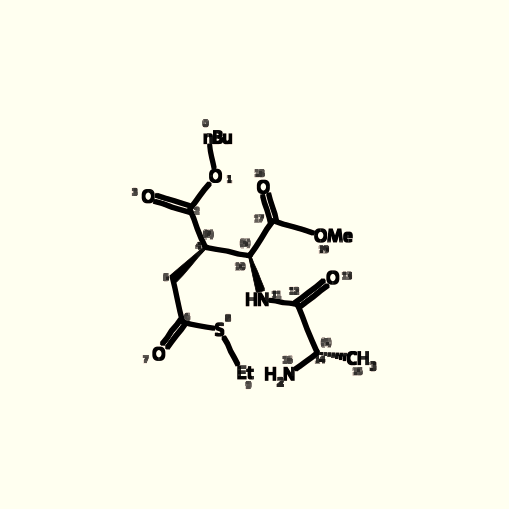 CCCCOC(=O)[C@H](CC(=O)SCC)[C@H](NC(=O)[C@H](C)N)C(=O)OC